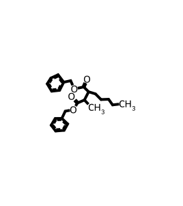 CCCCCC(C(=O)OCc1ccccc1)C(C)C(=O)OCc1ccccc1